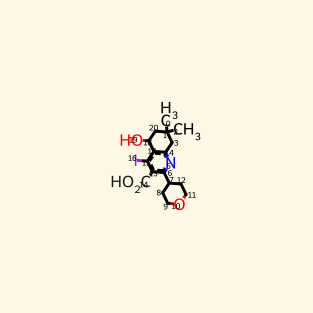 CC1(C)Cc2nc(C3CCOCC3)c(C(=O)O)c(I)c2C(O)C1